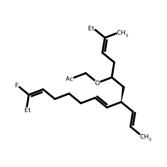 C/C=C/[C@@H](C=CCCC/C=C(/F)CC)CC(C/C=C(\C)CC)OCC(C)=O